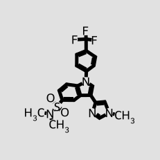 CN(C)S(=O)(=O)c1ccc2c(c1)c(-c1cn(C)cn1)cn2-c1ccc(C(F)(F)F)cc1